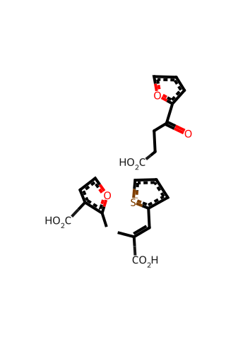 CC(=Cc1cccs1)C(=O)O.Cc1occc1C(=O)O.O=C(O)CCC(=O)c1ccco1